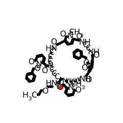 CCCOCCNC(=O)C1CCCN(C(=O)c2cccc(=O)n2OCc2ccccc2)CCCNC(=O)c2ccc(n(C)c2=O)C(=O)NCCNC(=O)c2ccc(c(=O)n2OCc2ccccc2)C(=O)NCCCN1C(=O)c1cccc(=O)n1C